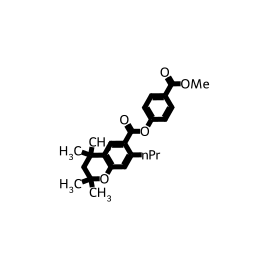 CCCc1cc2c(cc1C(=O)Oc1ccc(C(=O)OC)cc1)C(C)(C)CC(C)(C)O2